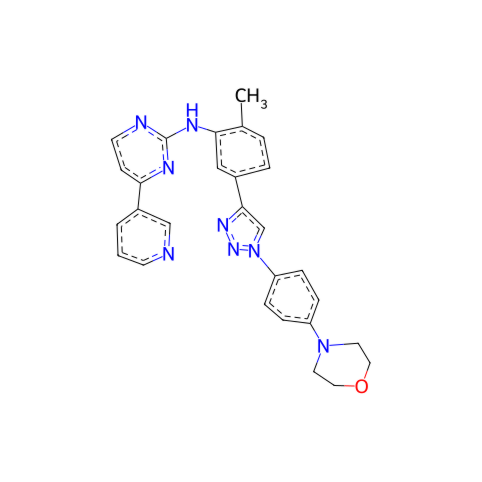 Cc1ccc(-c2cn(-c3ccc(N4CCOCC4)cc3)nn2)cc1Nc1nccc(-c2cccnc2)n1